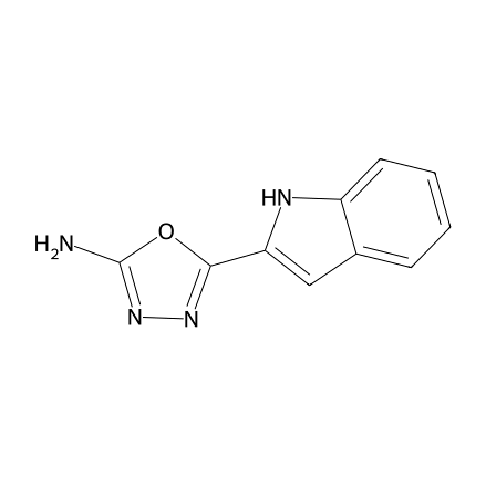 Nc1nnc(-c2cc3ccccc3[nH]2)o1